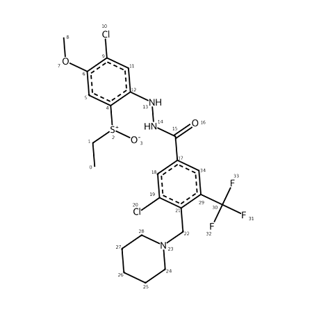 CC[S+]([O-])c1cc(OC)c(Cl)cc1NNC(=O)c1cc(Cl)c(CN2CCCCC2)c(C(F)(F)F)c1